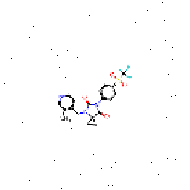 Cc1cnccc1CN1C(=O)N(c2ccc(S(=O)(=O)C(F)(F)F)cc2)C(=O)C12CC2